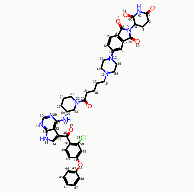 O=C1CCC(N2C(=O)c3ccc(N4CCN(CCCCC(=O)N5CCC[C@@H](Nc6ncnc7[nH]cc(C(=O)c8ccc(Oc9ccccc9)cc8Cl)c67)C5)CC4)cc3C2=O)C(=O)N1